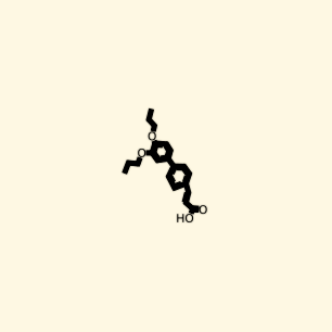 CCCOc1ccc(-c2ccc(C=CC(=O)O)cc2)cc1OCCC